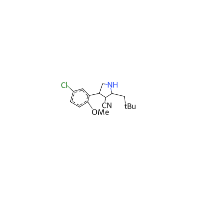 COc1ccc(Cl)cc1C1CNC(CC(C)(C)C)C1C#N